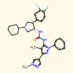 Cc1c(-c2cnn(C)c2)nn(-c2ccccc2)c1NC(=O)N[C@@H]1CN(C2CCCCC2)C[C@H]1c1ccc(F)c(F)c1